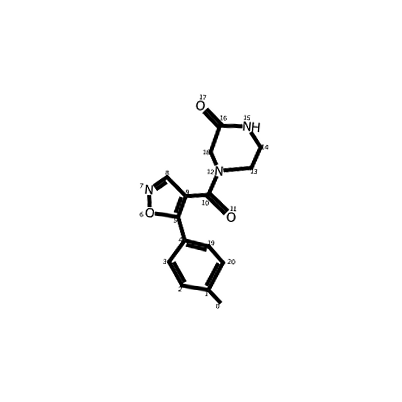 Cc1ccc(-c2oncc2C(=O)N2CCNC(=O)C2)cc1